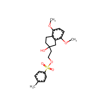 COc1ccc(OC)c2c1CCC(O)(CCOS(=O)(=O)c1ccc(C)cc1)C2